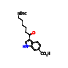 CCCCCCCCCCCCCCCC(=O)c1c[nH]c2cc(C(=O)O)ccc12